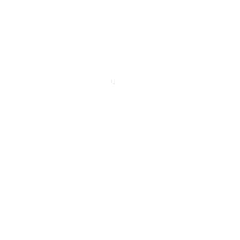 C[C@@H](Cc1ccc(-c2ccccc2)cc1)C(N)=O